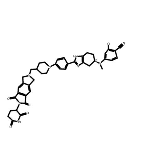 CN(c1ccc(C#N)c(Cl)c1)[C@@H]1CCc2[nH]c(-c3ccc(N4CCC(CN5Cc6cc7c(cc6C5)C(=O)N(C5CCC(=O)NC5=O)C7=O)CC4)cc3)nc2C1